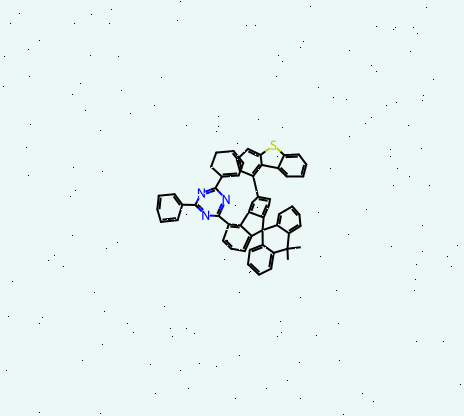 CC1(C)c2ccccc2C2(c3ccc(-c4cccc5sc6ccccc6c45)cc3-c3c(-c4nc(C5=CC=CCC5)nc(-c5ccccc5)n4)cccc32)c2ccccc21